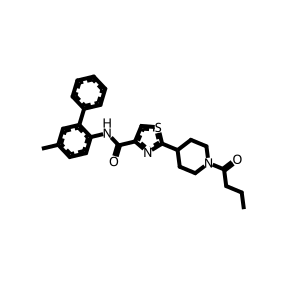 CCCC(=O)N1CCC(c2nc(C(=O)Nc3ccc(C)cc3-c3ccccc3)cs2)CC1